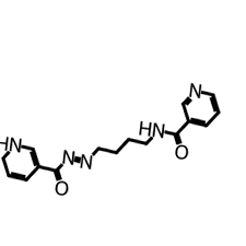 O=C(N=NCCCCNC(=O)c1cccnc1)C1=CNCC=C1